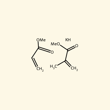 C=C(C)C(=O)OC.C=CC(=O)OC.[KH]